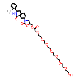 O=C(COCCOCCOCCOCCOCCOCCOCCO)OCC1CN(c2ccc3cc(-c4ccccc4C(F)(F)F)[nH]c(=O)c3c2)C(=O)O1